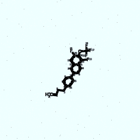 C=CCCc1ccc(-c2ccc3c(F)c(OC(F)(F)F)c(F)cc3c2)cc1